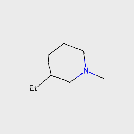 [CH2]CC1CCCN(C)C1